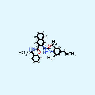 C=CCc1cc(C)c(NC(=O)Nc2cc3ccccc3cc2C(=O)N[C@H](C(=O)O)C2CCCCC2)c(C)c1